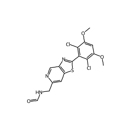 COc1cc(OC)c(Cl)c(-c2nc3cnc(CNC=O)cc3s2)c1Cl